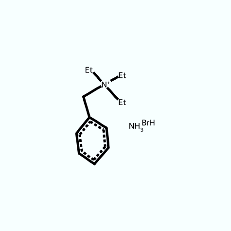 Br.CC[N+](CC)(CC)Cc1ccccc1.N